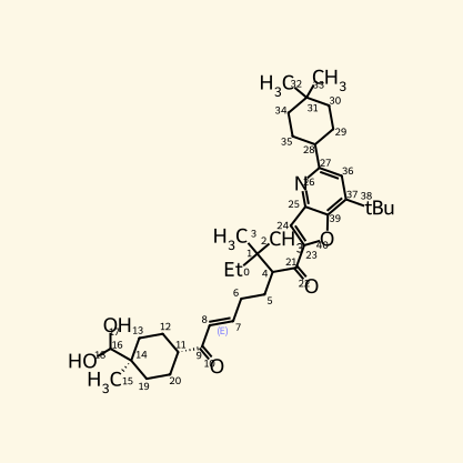 CCC(C)(C)C(CC/C=C/C(=O)[C@H]1CC[C@](C)(C(O)O)CC1)C(=O)c1cc2nc(C3CCC(C)(C)CC3)cc(C(C)(C)C)c2o1